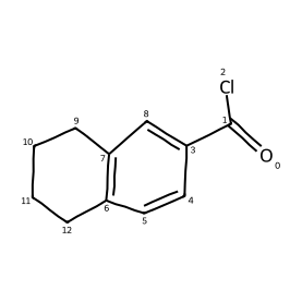 O=C(Cl)c1ccc2c(c1)CCCC2